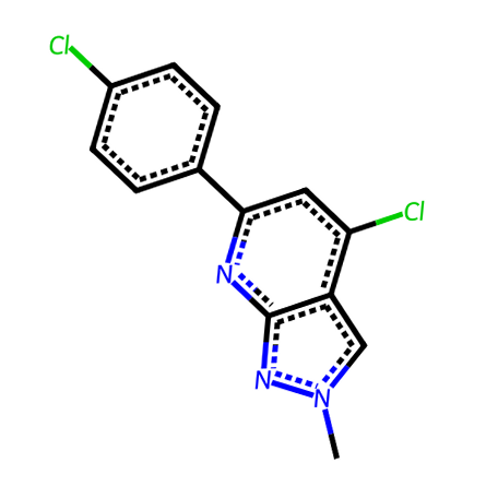 Cn1cc2c(Cl)cc(-c3ccc(Cl)cc3)nc2n1